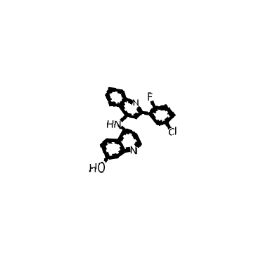 Oc1ccc2c(Nc3cc(-c4cc(Cl)ccc4F)nc4ccccc34)ccnc2c1